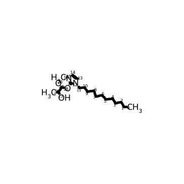 CCCCCCCCCCCCN1C=CN(C)C1OC(=O)C(C)O